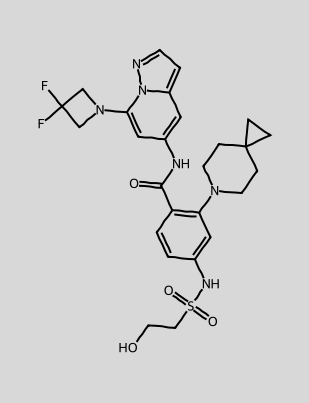 O=C(Nc1cc(N2CC(F)(F)C2)n2nccc2c1)c1ccc(NS(=O)(=O)CCO)cc1N1CCC2(CC1)CC2